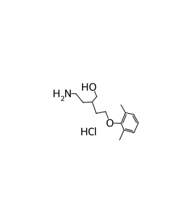 Cc1cccc(C)c1OCCC(CO)CCN.Cl